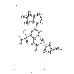 C=C(C)C(F)(F)c1cc(-c2ccnc3[nH]c(=O)[nH]c23)ccc1CN(C)C(=O)c1nc(C(C)(C)C)no1